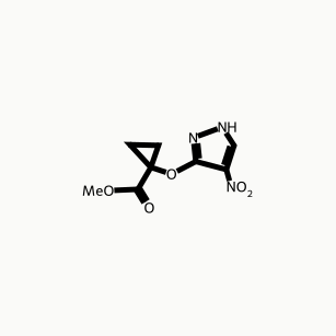 COC(=O)C1(Oc2n[nH]cc2[N+](=O)[O-])CC1